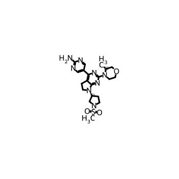 C[C@H]1COCCN1c1nc(-c2cnc(N)nc2)c2c(n1)N([C@H]1CCN(S(C)(=O)=O)C1)CC2